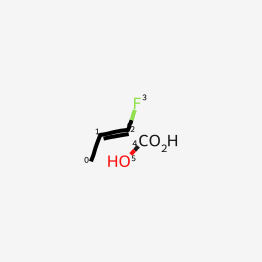 CC=CF.O=C(O)O